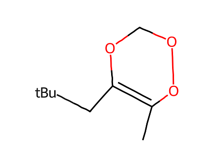 CC1=C(CC(C)(C)C)OCOO1